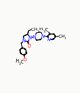 CCC1CN(Cc2ccc(OC)cc2)C(=O)N1N1CCN(c2ncc(C)cc2C)CC1